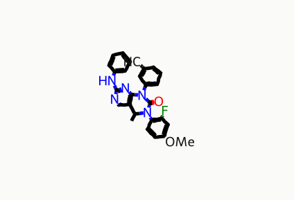 COc1ccc(N2C(=O)N(c3cccc(C#N)c3)c3nc(Nc4ccccc4)ncc3C2C)c(F)c1